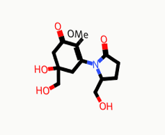 COC1=C(N2C(=O)CCC2CO)CC(O)(CO)CC1=O